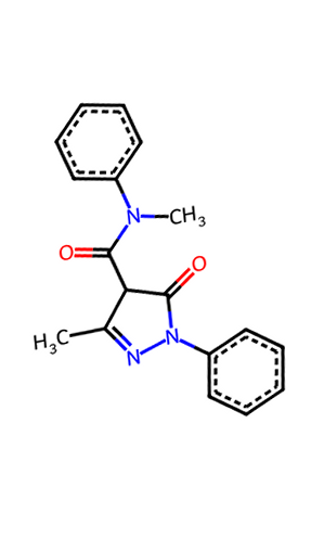 CC1=NN(c2ccccc2)C(=O)C1C(=O)N(C)c1ccccc1